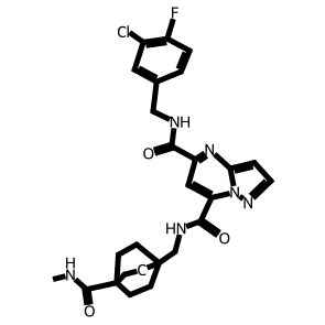 CNC(=O)C12CCC(CNC(=O)c3cc(C(=O)NCc4ccc(F)c(Cl)c4)nc4ccnn34)(CC1)CC2